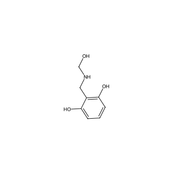 OCNCc1c(O)cccc1O